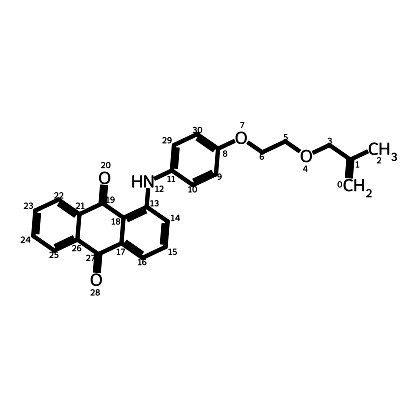 C=C(C)COCCOc1ccc(Nc2cccc3c2C(=O)c2ccccc2C3=O)cc1